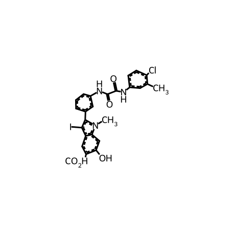 Cc1cc(NC(=O)C(=O)Nc2cccc(-c3c(I)c4cc(C(=O)O)c(O)cc4n3C)c2)ccc1Cl